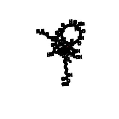 CC[C@H](C)[C@@H]1NC(=O)CNC(=O)C2Cc3c([nH]c4cc(OCCCCCCNC(=O)OC(C)(C)C)ccc34)[S+]([O-])CC(NC(=O)CNC1=O)C(=O)N[C@@H](CCCOCN)C(=O)N1C[C@H](O)C[C@H]1C(=O)N[C@@H]([C@@H](C)[C@@H](O)CO)C(=O)N2